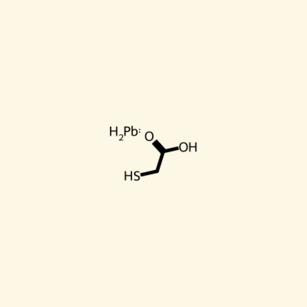 O=C(O)CS.[PbH2]